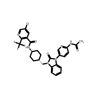 CC(=O)Nc1ccc(-n2c(=O)n(C[C@H]3CC[C@H](NC(=O)c4cc(Cl)cnc4C(F)(F)F)CC3)c3ccccc32)cn1